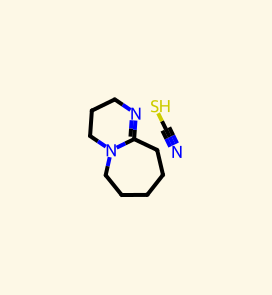 C1CCC2=NCCCN2CC1.N#CS